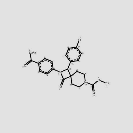 COC(=O)c1ccc(N2C(=O)C3(CCN(C(=O)OC(C)(C)C)CC3)C2c2ccc(Cl)cc2)cc1